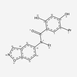 CCN(C(=O)c1cc(C(C)C)c(O)cc1O)c1ccc2oncc2c1